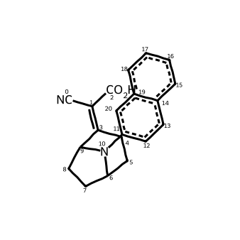 N#CC(C(=O)O)=C1CCC2CCC1N2c1ccc2ccccc2c1